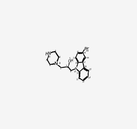 O[C@H](CN1CCNCC1)Cn1c2ccccc2c2cc(Br)ccc21